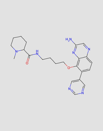 CN1CCCCC1C(=O)NCCCCOc1c(-c2cncnc2)ccc2ncc(N)nc12